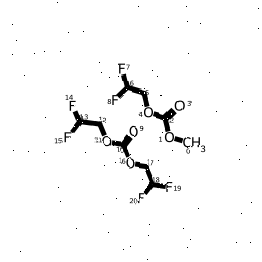 COC(=O)OCC(F)F.O=C(OCC(F)F)OCC(F)F